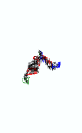 Cc1nccc(-c2ccc(CC(NC(=O)[C@@H]3Cc4cc5c(cc4CN3Cc3ncccc3F)OCC(c3ccc(OCc4ccc(Cl)c(Cl)c4)cc3)O5)C(=O)O)cc2)c1C